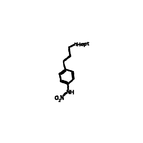 CCCCCCCCCCc1ccc(N[N+](=O)[O-])cc1